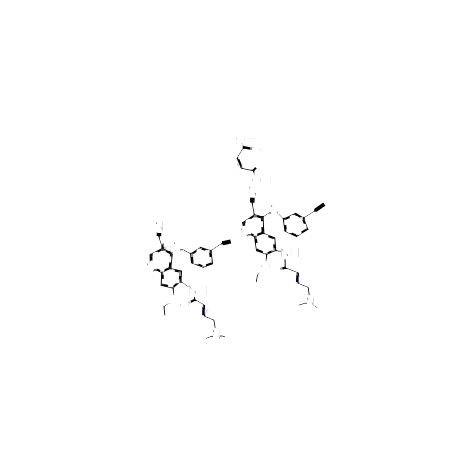 C#Cc1cccc(Nc2c(C#N)cnc3cc(OCC)c(NC(=O)/C=C/CN(C)C)cc23)c1.C#Cc1cccc(Nc2c(C#N)cnc3cc(OCC)c(NC(=O)/C=C/CN(C)C)cc23)c1.O=C(O)/C=C\C(=O)O